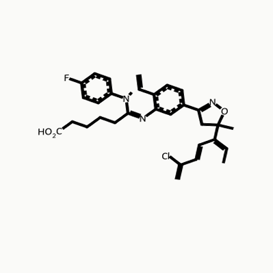 C=Cc1ccc(C2=NOC(C)(C(/C=C/C(=C)Cl)=C/C)C2)cc1/N=C(/CCCCC(=O)O)N(C)c1ccc(F)cc1